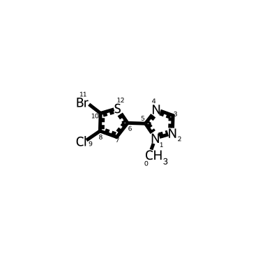 Cn1ncnc1-c1cc(Cl)c(Br)s1